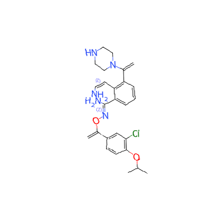 C=C(O/N=C(\N)c1cccc(C(=C)N2CCNCC2)c1/C=C\N)c1ccc(OC(C)C)c(Cl)c1